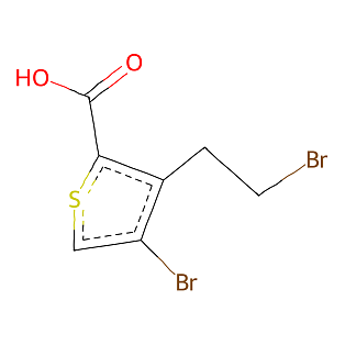 O=C(O)c1scc(Br)c1CCBr